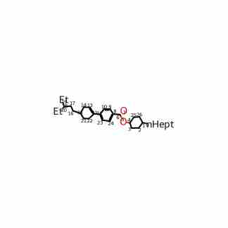 CCCCCCCC1CCC(OC(=O)c2ccc(C3=CCC(CCC(CC)CC)CC3)cc2)CC1